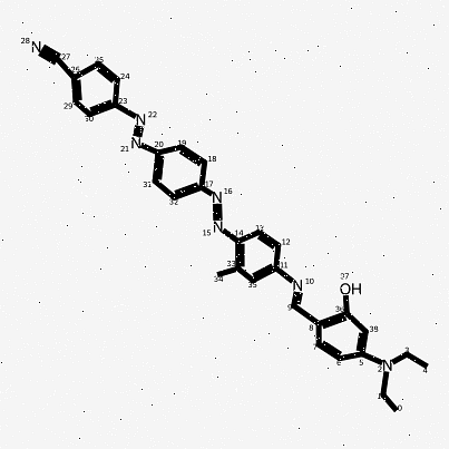 CCN(CC)c1ccc(/C=N/c2ccc(/N=N/c3ccc(/N=N/c4ccc(C#N)cc4)cc3)c(C)c2)c(O)c1